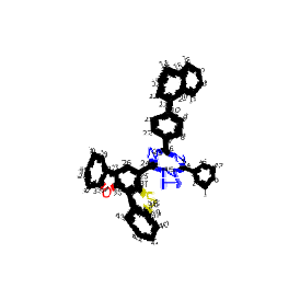 c1ccc(C2N=C(c3ccc(-c4cccc5ccccc45)cc3)N=C(c3cc4c5ccccc5oc4c4c3sc3ccccc34)N2)cc1